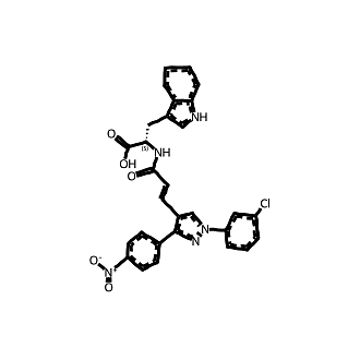 O=C(C=Cc1cn(-c2cccc(Cl)c2)nc1-c1ccc([N+](=O)[O-])cc1)N[C@@H](Cc1c[nH]c2ccccc12)C(=O)O